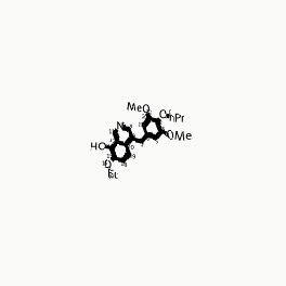 CCCOc1c(OC)cc(Cc2cncc3c(O)c(OCC)ccc23)cc1OC